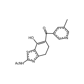 CC(=O)Nc1nc2c(s1)C(O)=C(C(=O)c1cncc(C)c1)CC2